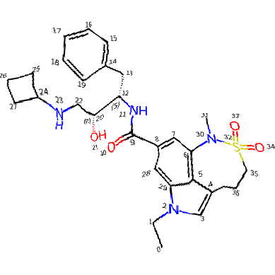 CCn1cc2c3c(cc(C(=O)N[C@@H](Cc4ccccc4)[C@H](O)CNC4CCC4)cc31)N(C)S(=O)(=O)CC2